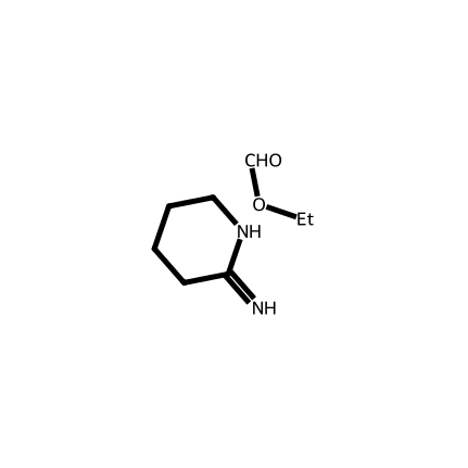 CCOC=O.N=C1CCCCN1